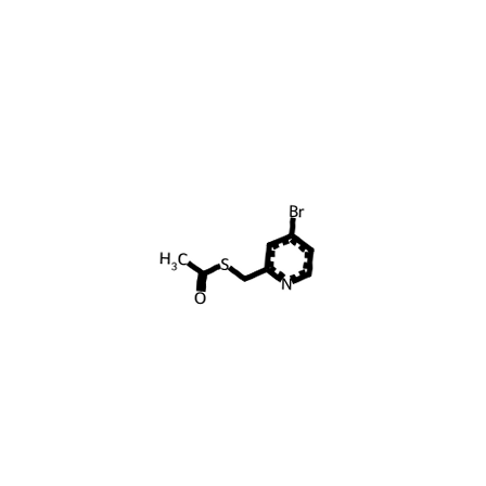 CC(=O)SCc1cc(Br)ccn1